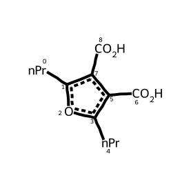 CCCc1oc(CCC)c(C(=O)O)c1C(=O)O